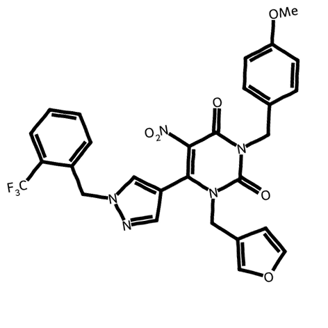 COc1ccc(Cn2c(=O)c([N+](=O)[O-])c(-c3cnn(Cc4ccccc4C(F)(F)F)c3)n(Cc3ccoc3)c2=O)cc1